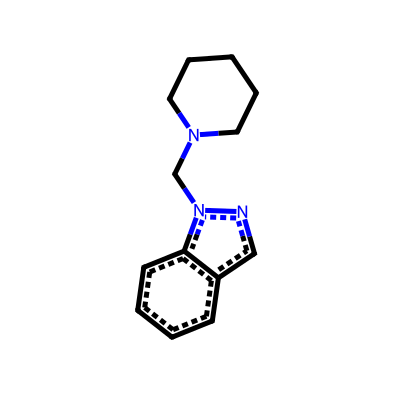 c1ccc2c(c1)cnn2CN1CCCCC1